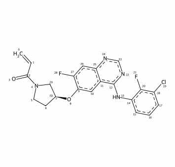 C=CC(=O)N1CC[C@H](Oc2cc3c(Nc4cccc(Cl)c4F)ncnc3cc2F)C1